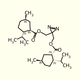 CC(C)[C@@H]1CC[C@@H](C)C[C@@H]1C(=O)OCC1(COC(=O)[C@@H]2C[C@H](C)CC[C@H]2C(C)C)N=N1